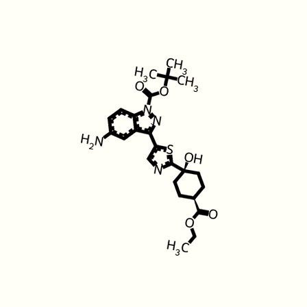 CCOC(=O)[C@H]1CC[C@](O)(c2ncc(-c3nn(C(=O)OC(C)(C)C)c4ccc(N)cc34)s2)CC1